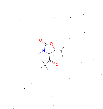 CC(C)[C@H]1OC(=O)N(C)[C@@H]1C(=O)C(C)(C)C